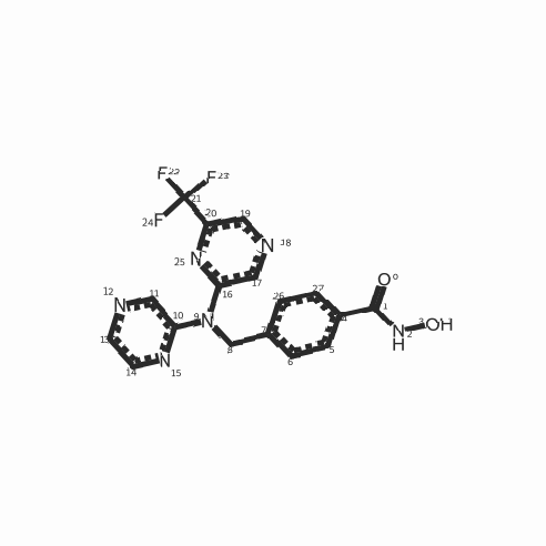 O=C(NO)c1ccc(CN(c2cnccn2)c2cncc(C(F)(F)F)n2)cc1